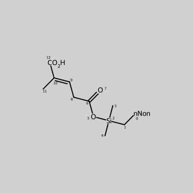 CCCCCCCCCC[Si](C)(C)OC(=O)CC=C(C)C(=O)O